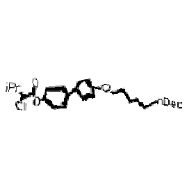 CCCCCCCCCCCCCCCOc1ccc(-c2ccc(OC(=O)C(Cl)C(C)C)cc2)cc1